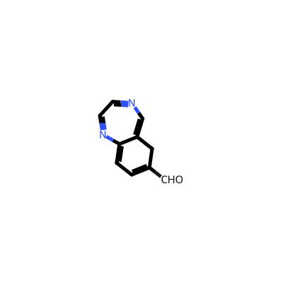 O=CC1=CC=C2N=CC=NC=C2C1